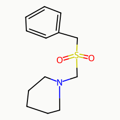 O=S(=O)(Cc1ccccc1)CN1CCCCC1